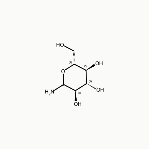 N[C]1O[C@H](CO)[C@@H](O)[C@H](O)[C@H]1O